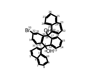 OC1(c2cccc3ccccc23)c2ccccc2C(O)(c2cccc3ccccc23)c2cc(Br)ccc21